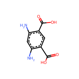 Nc1cc(N)c(C(=O)O)cc1C(=O)O